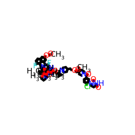 COCOc1cc(-c2ncc3c(N4CC5CCC(C4)N5C(=O)OC(C)(C)C)nc(OCC4(CN5CCC(CCOCC6(OC)CCN(C(=O)c7ccc(Cl)c(N8CCC(=O)NC8=O)c7)CC6)CC5)CC4)nc3c2F)c2c(C#C[Si](C(C)C)(C(C)C)C(C)C)c(F)ccc2c1